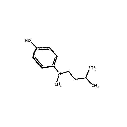 CC(C)CCN(C)c1ccc(O)cc1